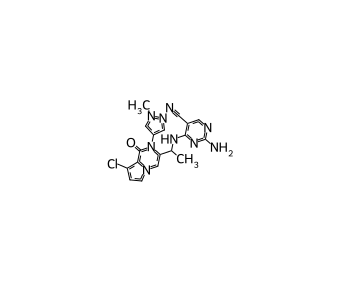 CC(Nc1nc(N)ncc1C#N)c1cn2ccc(Cl)c2c(=O)n1-c1cnn(C)c1